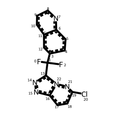 FC(F)(c1ccc2ncccc2c1)c1nnc2ccc(Cl)nn12